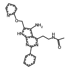 CC(=O)NCCc1nc(-c2ccccc2)nc2[nH]c(COc3ccccn3)c(N)c12